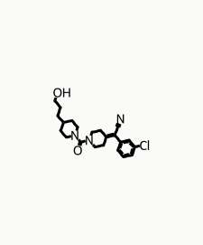 N#CC(=C1CCN(C(=O)N2CCC(CCCO)CC2)CC1)c1cccc(Cl)c1